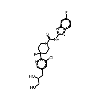 O=C(Nc1nc2ccc(F)cc2s1)N1CCC(F)(c2ncc(CC(O)CO)cc2Cl)CC1